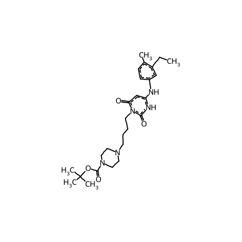 CCc1cc(Nc2cc(=O)n(CCCCN3CCN(C(=O)OC(C)(C)C)CC3)c(=O)[nH]2)ccc1C